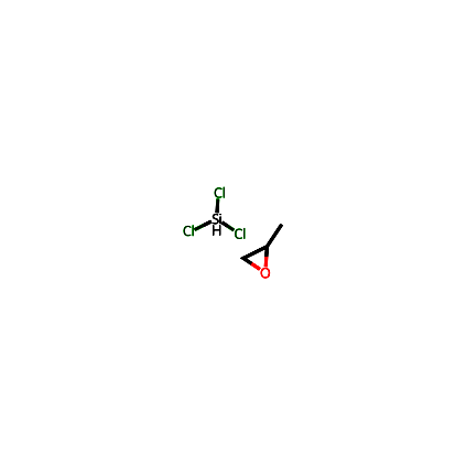 CC1CO1.Cl[SiH](Cl)Cl